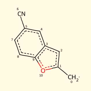 [CH2]c1cc2cc(C#N)ccc2o1